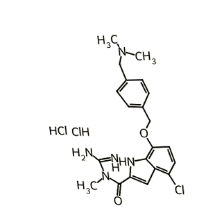 CN(C)Cc1ccc(COc2ccc(Cl)c3cc(C(=O)N(C)C(=N)N)[nH]c23)cc1.Cl.Cl